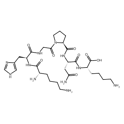 NCCCC[C@H](NC(=O)[C@H](CC(N)=O)NC(=O)[C@@H]1CCCN1C(=O)CNC(=O)[C@H](Cc1c[nH]cn1)NC(=O)[C@@H](N)CCCCN)C(=O)O